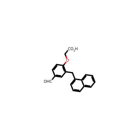 O=Cc1ccc(OCC(=O)O)c(Cc2cccc3ccccc23)c1